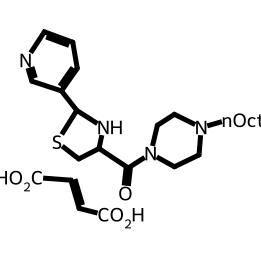 CCCCCCCCN1CCN(C(=O)C2CSC(c3cccnc3)N2)CC1.O=C(O)/C=C/C(=O)O